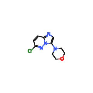 Clc1ccc2ncc(N3CCOCC3)n2n1